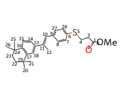 COC(=O)CCSc1ccc(C=C(C)c2ccc3c(c2)C(C)(C)CCC3(C)C)cc1